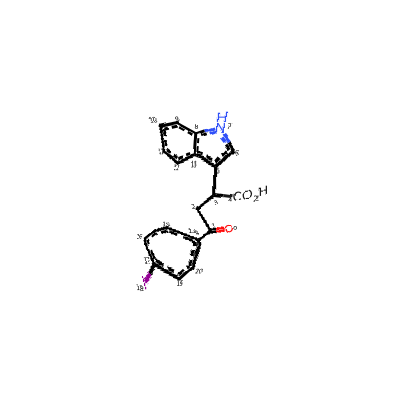 O=C(CC(C(=O)O)c1c[nH]c2ccccc12)c1ccc(I)cc1